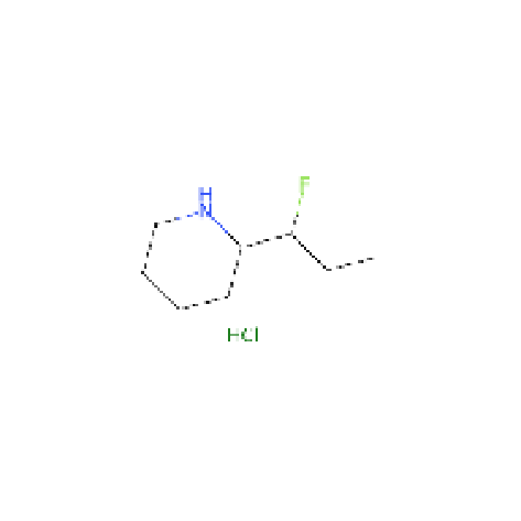 CCC(F)C1CCCCN1.Cl